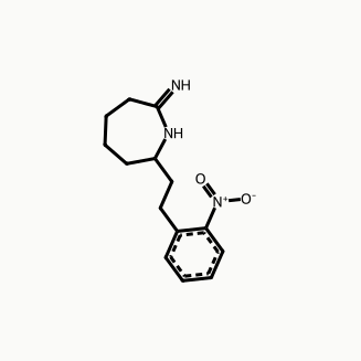 N=C1CCCCC(CCc2ccccc2[N+](=O)[O-])N1